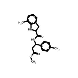 COC(=O)CC(NC(=O)C1Cc2cccc(C)c2N1)c1ccc(C)cc1